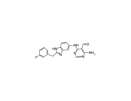 Nc1ncnc(Nc2ccc3[nH]c(Cc4cccc(F)c4)nc3c2)c1C=O